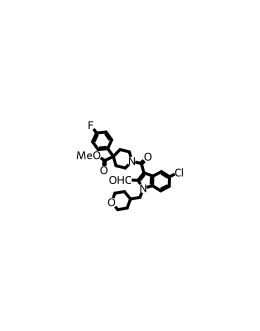 COC(=O)C1(c2ccc(F)cc2)CCN(C(=O)c2c(C=O)n(CC3CCOCC3)c3ccc(Cl)cc23)CC1